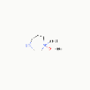 CC(C)(C)O[N+]1(C=O)CCCNCC1